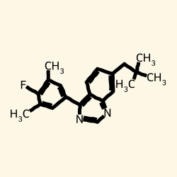 Cc1cc(-c2ncnc3cc(CC(C)(C)C)ccc23)cc(C)c1F